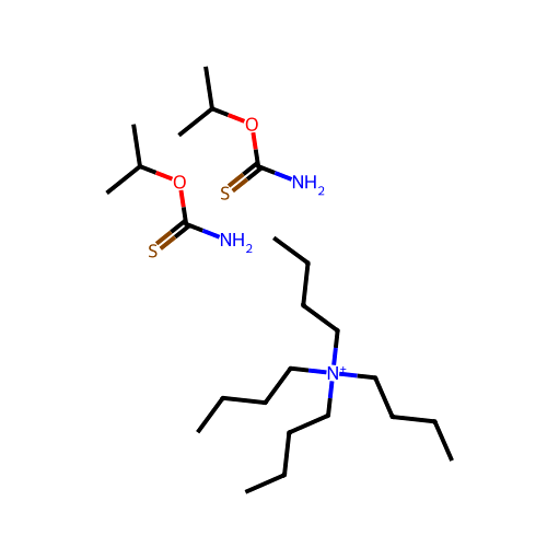 CC(C)OC(N)=S.CC(C)OC(N)=S.CCCC[N+](CCCC)(CCCC)CCCC